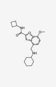 COc1ccc(CNC2CCCCC2)c2cc(C(=O)NC3CCC3)oc12